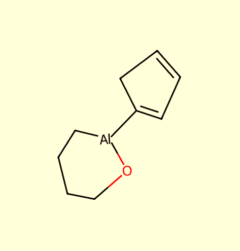 C1=CC[C]([Al]2[CH2]CCC[O]2)=C1